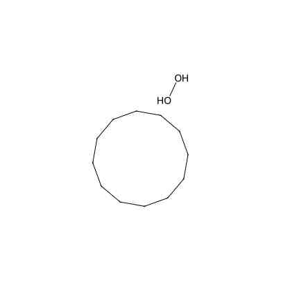 C1CCCCCCCCCCC1.OO